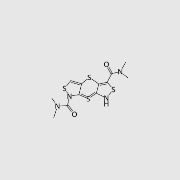 CN(C)C(=O)C1=C2SC3=CSN(C(=O)N(C)C)C3=S=C2NS1